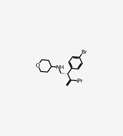 C=C(C(C)C)[C@H](CNC1CCOCC1)c1ccc(Br)cc1